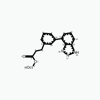 CCCCCCCCOC(=O)CCc1cccc(-c2cccc3[nH]nnc23)c1